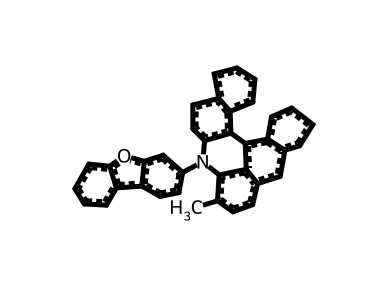 Cc1ccc2cc3ccccc3c3c2c1N(c1ccc2c(c1)oc1ccccc12)c1ccc2ccccc2c1-3